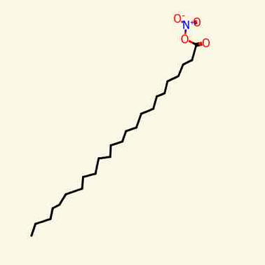 CCCCCCCCCCCCCCCCCCCCCCCC(=O)O[N+](=O)[O-]